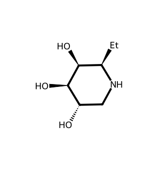 CC[C@H]1NC[C@H](O)[C@@H](O)[C@H]1O